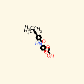 CC(C)(C)C#Cc1ccc(C(=O)Nc2ccc3c(c2)OCC(CO)O3)cc1